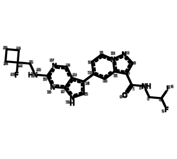 O=C(NCC(F)F)c1cnn2ccc(-c3c[nH]c4nc(NCC5(F)CCC5)ncc34)cc12